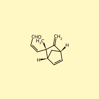 C=C1[C@@H]2C=C[C@@H](C2)[C@]1(C)/C=C\C=O